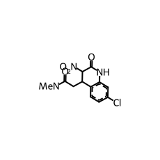 CNC(=O)CC1c2ccc(Cl)cc2NC(=O)C1[N+](=O)[O-]